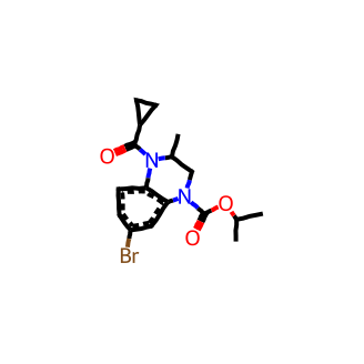 CC(C)OC(=O)N1CC(C)N(C(=O)C2CC2)c2ccc(Br)cc21